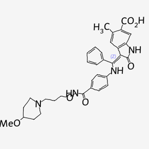 COC1CCN(CCCONC(=O)c2ccc(N/C(=C3\C(=O)Nc4cc(C(=O)O)c(C)cc43)c3ccccc3)cc2)CC1